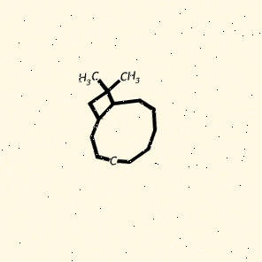 CC1(C)C[C]2CCCCCCCCC21